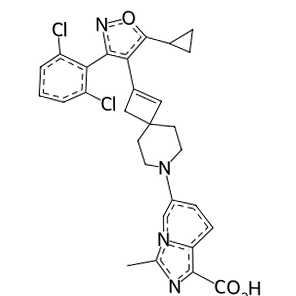 Cc1nc(C(=O)O)c2ccc(N3CCC4(C=C(c5c(-c6c(Cl)cccc6Cl)noc5C5CC5)C4)CC3)cn12